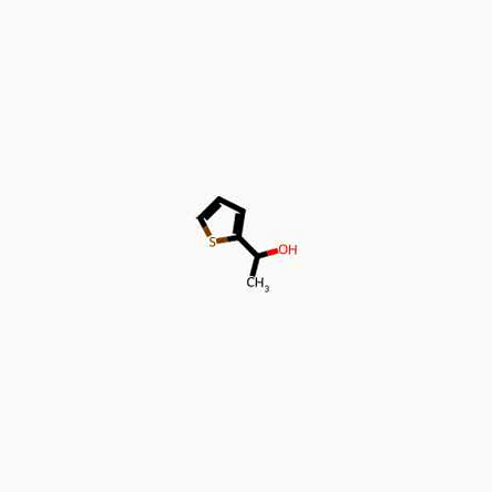 CC(O)c1cc[c]s1